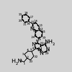 NCC1CCC(c2nc(-c3ccc4ccc(-c5ccccc5)nc4c3)c3c(N)ncnn23)CC1